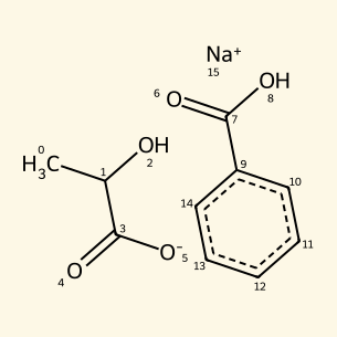 CC(O)C(=O)[O-].O=C(O)c1ccccc1.[Na+]